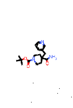 CC(C)(C)OC(=O)N1CCC(Cc2cccnc2)(C(N)=O)CC1